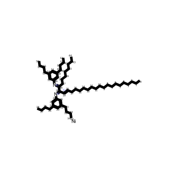 CCCCCCCCCCCCCCCCCC/C=C/C(=N\c1cc(CCCC)cc(CCCC)c1)C(/CCCCCCCC)=N/c1cc(CCCC)cc(CCCC)c1.[Ni]